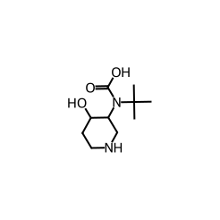 CC(C)(C)N(C(=O)O)C1CNCCC1O